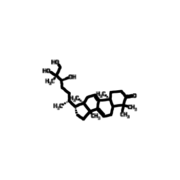 C[C@H](CC[C@H](O)[C@@](C)(O)CO)[C@H]1CC[C@@]2(C)C3=CCC4C(C)(C)C(=O)CC[C@]4(C)C3=CC[C@]12C